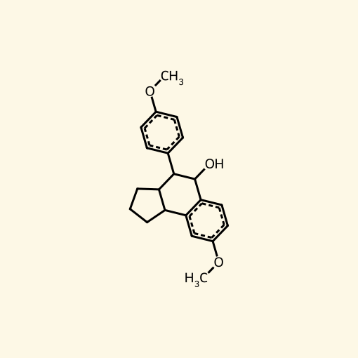 COc1ccc(C2C(O)c3ccc(OC)cc3C3CCCC32)cc1